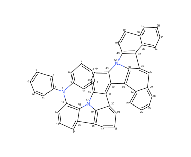 c1ccc(N(c2ccccc2)c2cccc3c4cccc5c6c7c8c9ccccc9cc9c%10c%11ccccc%11ccc%10n(c7ccc6n(c23)c45)c98)cc1